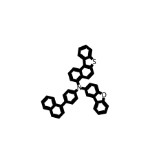 c1ccc2c(-c3ccc(N(c4ccc5oc6ccccc6c5c4)c4cccc5c4ccc4sc6ccccc6c45)cc3)cccc2c1